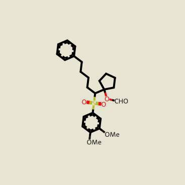 COc1ccc(S(=O)(=O)C(CCCCc2ccccc2)C2(OC=O)CCCC2)cc1OC